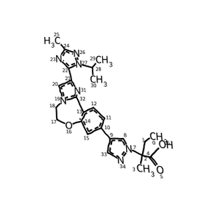 CCC(C)(C(=O)O)n1cc(-c2ccc3c(c2)OCCn2cc(-c4nc(C)nn4C(C)C)nc2-3)cn1